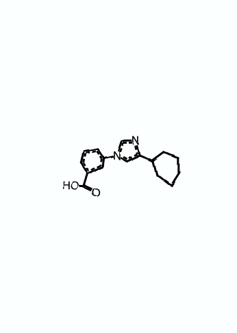 O=C(O)c1cccc(-n2cnc(C3CCCCC3)c2)c1